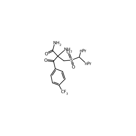 CCCC(CCC)S(=O)(=O)CC(N)(C(N)=O)C(=O)c1ccc(C(F)(F)F)cc1